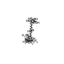 CO[C@H]1C(OP(O)(=S)OC(C)(C)C)[C@@H](COC(C)C)O[C@H]1CCCNC(=O)CCCCO[C@H]1O[C@H](CO)[C@@H](O)[C@H](O)[C@@H]1O